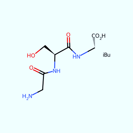 CC[C@H](C)[C@H](NC(=O)[C@H](CO)NC(=O)CN)C(=O)O